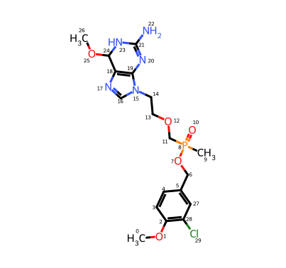 COc1ccc(COP(C)(=O)COCCn2cnc3c2N=C(N)NC3OC)cc1Cl